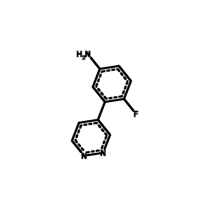 Nc1ccc(F)c(-c2ccnnc2)c1